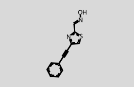 ON=Cc1nc(C#Cc2ccccc2)cs1